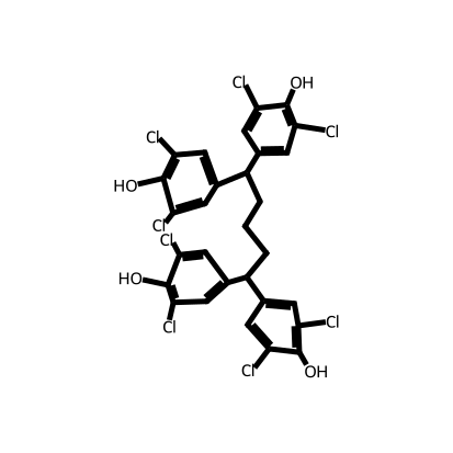 Oc1c(Cl)cc(C(CCCC(c2cc(Cl)c(O)c(Cl)c2)c2cc(Cl)c(O)c(Cl)c2)c2cc(Cl)c(O)c(Cl)c2)cc1Cl